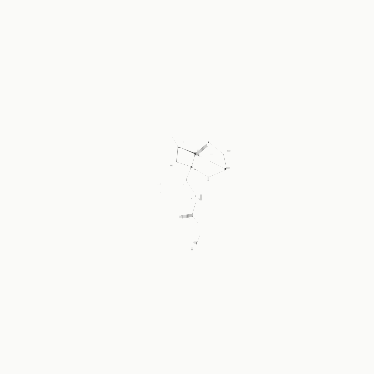 CC(C)(C)OC(=O)N[C@H](C(=O)O)C12CC3CC=C1C(O)(C3)C2